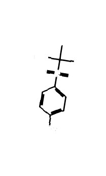 COc1ccc(S(=O)(=O)C(C)(C)C(=O)O)cc1